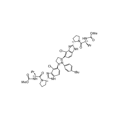 COC(=O)N[C@H](C(=O)N1CCC[C@H]1c1nc2c(Cl)c([C@H]3CC[C@@H](c4ccc5[nH]c([C@@H]6CCCN6C(=O)[C@@H](NC(=O)OC)C(C)C)nc5c4Cl)N3c3ccc(C(C)(C)C)cc3)ccc2[nH]1)C(C)C